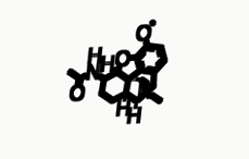 COc1ccc2c3c1O[C@@H]1C(NC(C)=O)CC[C@@H]4[C@H](C2)N(C)CC[C@@]314